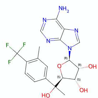 Cc1cc(C(C)(O)[C@H]2O[C@@H](n3cnc4c(N)ncnc43)[C@H](O)[C@@H]2O)ccc1C(F)(F)F